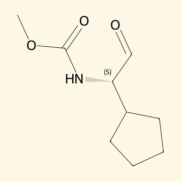 COC(=O)N[C@H](C=O)C1CCCC1